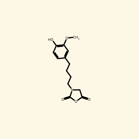 COc1cc(CCCCN2CC(=O)OC2=O)ccc1O